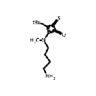 CN(CCCCN)c1c(C(C)(C)C)c(=S)c1=O